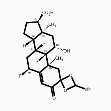 CCCC1OC2(C[C@@]3(C)C(=CC2=O)[C@@H](F)C[C@@H]2[C@@H]4CC[C@@H](C(=O)O)[C@@]4(C)C[C@H](O)[C@@]23F)O1